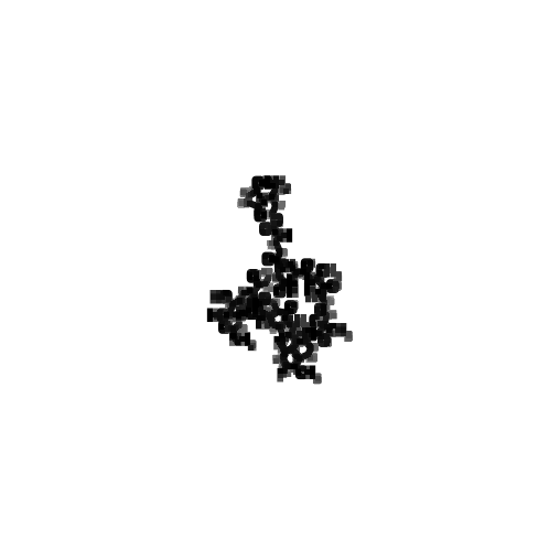 CC[C@@]1(O)C(=O)OCc2c1cc1n(c2=O)Cc2c-1nc1cc(F)c(C)c3c1c2[C@@H](NC(=O)C(C)(C)COCNC(=O)[C@H](C)NC(=O)[C@@H](NC(=O)[C@H](CCC(=O)NC[C@H]1O[C@@H](CC(N)=O)[C@H](O)[C@@H]1O)NC(=O)CCNC(=O)OCC[C@H](CN)N1C(=O)C=CC1=O)C(C)C)CC3